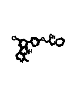 Cc1nccc2c1[nH]c1c(-c3ccc(OCC(O)CN4CCCCC4)cc3)cc(Cl)cc12